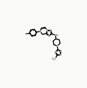 Cc1nsc(N2CCC(Nc3nc4n(n3)C=CN(c3ccc(F)cc3)C4)CC2)n1